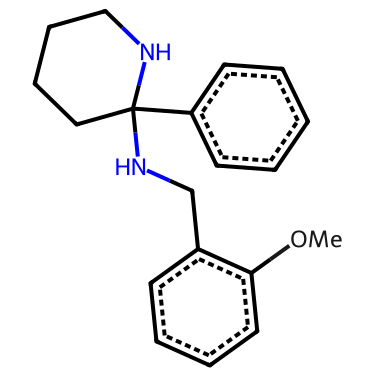 COc1ccccc1CNC1(c2ccccc2)CCCCN1